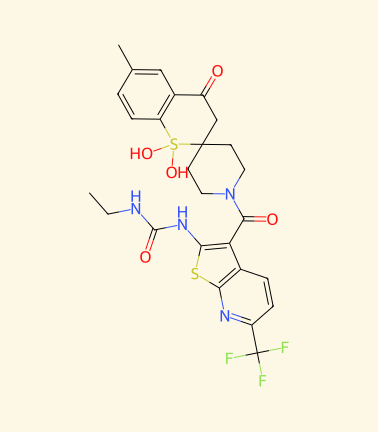 CCNC(=O)Nc1sc2nc(C(F)(F)F)ccc2c1C(=O)N1CCC2(CC1)CC(=O)c1cc(C)ccc1S2(O)O